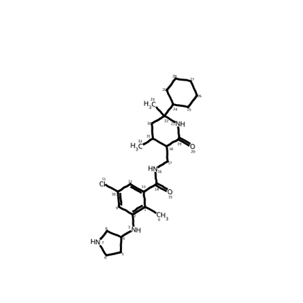 Cc1c(NC2CCNC2)cc(Cl)cc1C(=O)NCC1C(=O)NC(C)(C2CCCCC2)CC1C